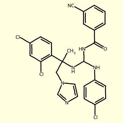 CC(Cn1ccnc1)(NC(NC(=O)c1cccc(C#N)c1)Nc1ccc(Cl)cc1)c1ccc(Cl)cc1Cl